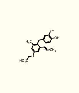 C/C=C/c1cc(OCC(=O)O)cc(C)c1Cc1ccc(O)c(C(C)C)c1